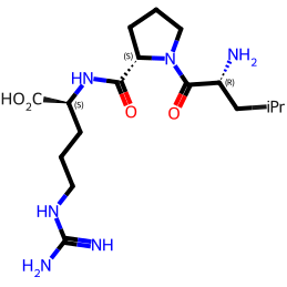 CC(C)C[C@@H](N)C(=O)N1CCC[C@H]1C(=O)N[C@@H](CCCNC(=N)N)C(=O)O